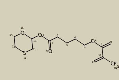 C=C(OCCCCC(=O)OC1CSCCO1)C(=C)C(F)(F)F